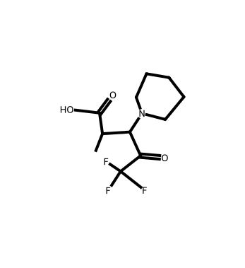 CC(C(=O)O)C(C(=O)C(F)(F)F)N1CCCCC1